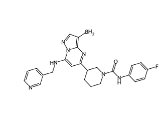 Bc1cnn2c(NCc3cccnc3)cc(C3CCCN(C(=O)Nc4ccc(F)cc4)C3)nc12